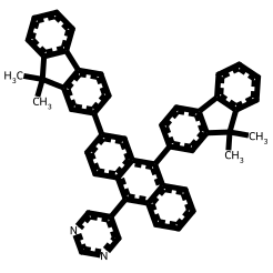 CC1(C)c2ccccc2-c2ccc(-c3ccc4c(-c5cncnc5)c5ccccc5c(-c5ccc6c(c5)C(C)(C)c5ccccc5-6)c4c3)cc21